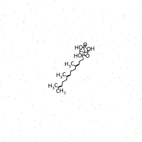 CC(C)=CCC/C(C)=C/CC/C(C)=C/CCP(=O)(O)C(F)(F)P(=O)(O)O